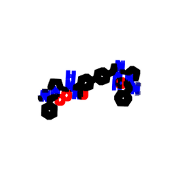 CN(C)[C@@H](C(=O)N1CCC[C@H]1C(=O)Nc1noc2cc(-c3ccc(-c4cnc([C@@H]5CCCN5C(=O)[C@@H](c5ccccc5)N(C)C)[nH]4)cc3)ccc12)c1ccccc1